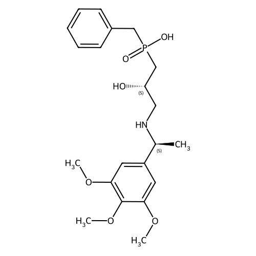 COc1cc([C@H](C)NC[C@H](O)CP(=O)(O)Cc2ccccc2)cc(OC)c1OC